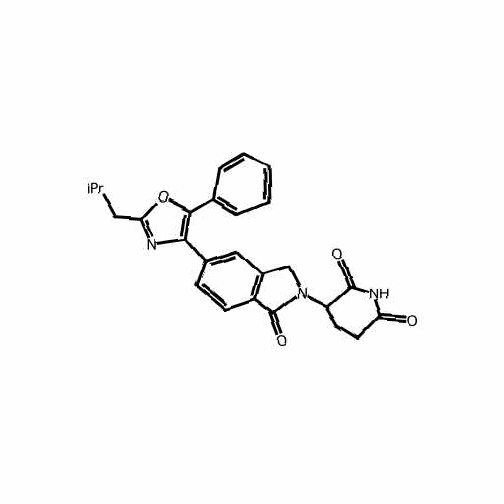 CC(C)Cc1nc(-c2ccc3c(c2)CN(C2CCC(=O)NC2=O)C3=O)c(-c2ccccc2)o1